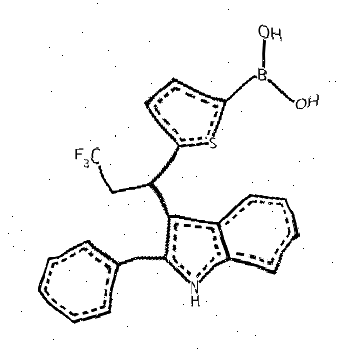 OB(O)c1ccc(C(CC(F)(F)F)c2c(-c3ccccc3)[nH]c3ccccc23)s1